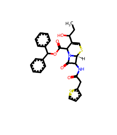 CCC(O)C1=CS[C@H]2C(NC(=O)Cc3cccs3)C(=O)N2C1C(=O)OC(c1ccccc1)c1ccccc1